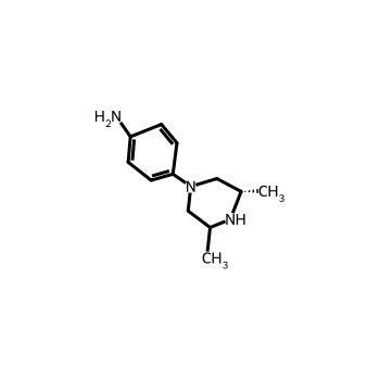 CC1CN(c2ccc(N)cc2)C[C@H](C)N1